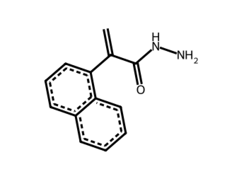 C=C(C(=O)NN)c1cccc2ccccc12